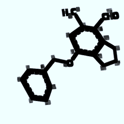 Cc1cc(OCc2ccccc2)c2c(c1C=O)CCC2